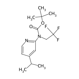 CC(C)c1ccnc(N(CC(F)(F)F)C(=O)OC(C)(C)C)c1